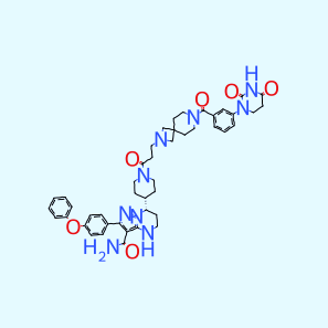 NC(=O)c1c(-c2ccc(Oc3ccccc3)cc2)nn2c1NCC[C@H]2C1CCN(C(=O)CCN2CC3(CCN(C(=O)c4cccc(N5CCC(=O)NC5=O)c4)CC3)C2)CC1